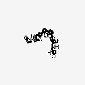 Cn1cc(CNCC2CCC(=O)N2)c2ccc(-c3cccc(-c4cccc(-c5ccn6c(=O)c(CNC[C@@H]7CCC(=O)N7)cnc6c5)c4Cl)c3Cl)nc21